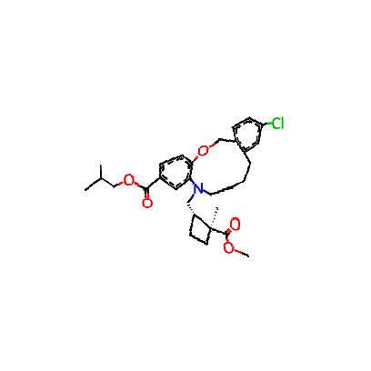 COC(=O)[C@@]1(C)CC[C@@H]1CN1CCCCc2cc(Cl)ccc2COc2ccc(C(=O)OCC(C)C)cc21